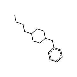 CCCCC1CCC(Cc2ccccc2)CC1